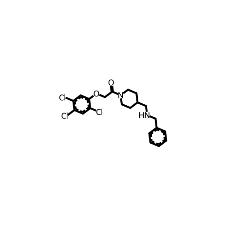 O=C(COc1cc(Cl)c(Cl)cc1Cl)N1CCC(CNCc2ccccc2)CC1